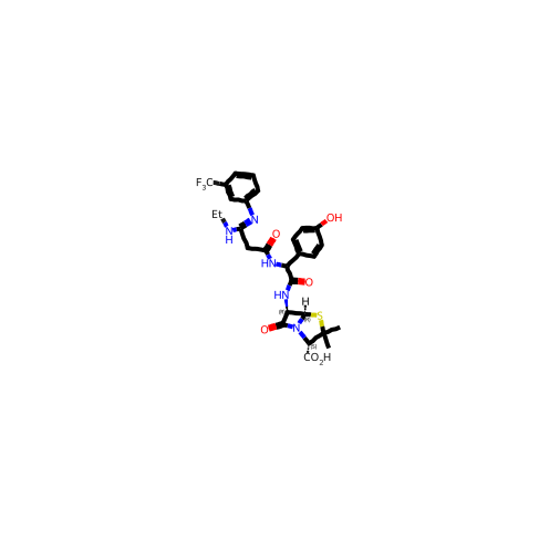 CCNC(CC(=O)NC(C(=O)N[C@@H]1C(=O)N2[C@@H]1SC(C)(C)[C@@H]2C(=O)O)c1ccc(O)cc1)=Nc1cccc(C(F)(F)F)c1